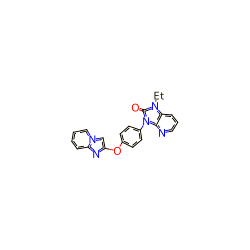 CCn1c(=O)n(-c2ccc(Oc3cn4ccccc4n3)cc2)c2ncccc21